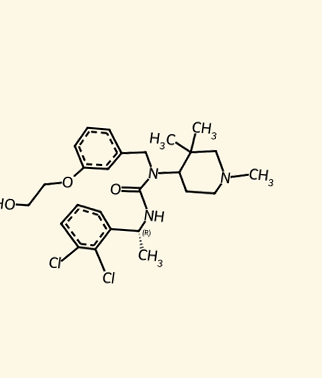 C[C@@H](NC(=O)N(Cc1cccc(OCCO)c1)C1CCN(C)CC1(C)C)c1cccc(Cl)c1Cl